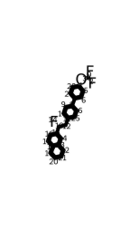 FC(F)Oc1ccc(-c2ccc(CC(F)c3ccc4ccccc4c3)cc2)cc1